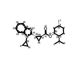 CC(C)[C@@H]1CC[C@@H](C)C[C@H]1OC(=O)[C@H]1C[C@@H]1c1nc2ccccc2n1C1CC1